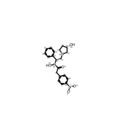 O=C(Cc1ccc([N+](=O)[O-])cc1)N(O)[C@H](CN1CC[C@H](O)C1)c1ccccc1